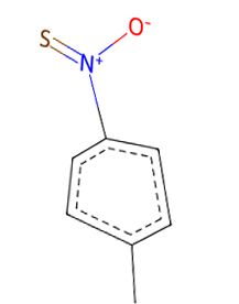 CC(C)(C)c1ccc([N+]([O-])=S)cc1